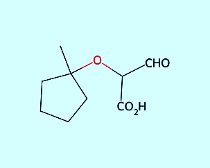 CC1(OC(C=O)C(=O)O)CCCC1